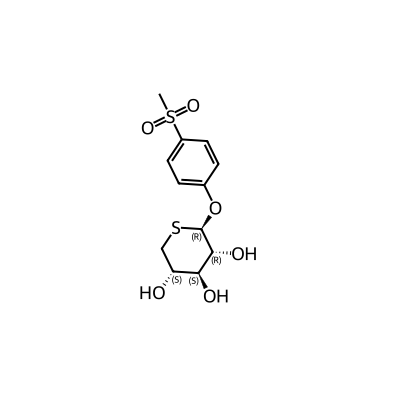 CS(=O)(=O)c1ccc(O[C@@H]2SC[C@@H](O)[C@H](O)[C@H]2O)cc1